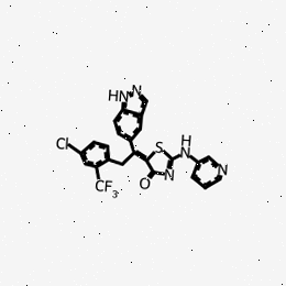 O=C1N=C(Nc2cccnc2)SC1=C(Cc1ccc(Cl)cc1C(F)(F)F)c1ccc2[nH]ncc2c1